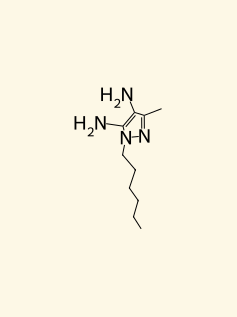 CCCCCCn1nc(C)c(N)c1N